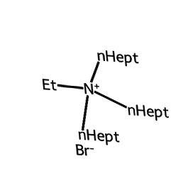 CCCCCCC[N+](CC)(CCCCCCC)CCCCCCC.[Br-]